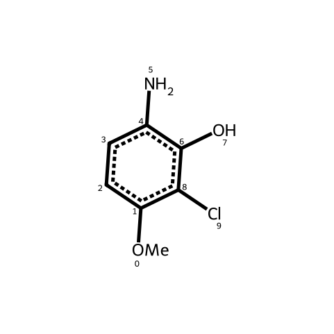 COc1ccc(N)c(O)c1Cl